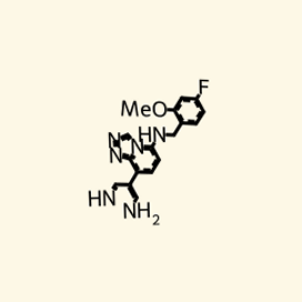 COc1cc(F)ccc1CNc1ccc(/C(C=N)=C/N)c2nncn12